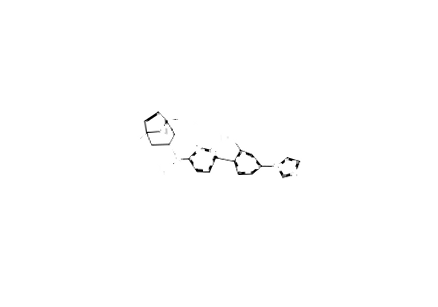 CN(c1ccc(-c2ccc(-n3ccnc3)cc2O)nn1)[C@H]1C[C@@H]2C=C[C@](C)(C1)N2